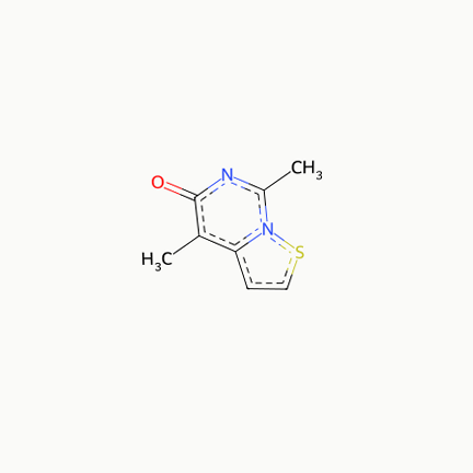 Cc1c(=O)nc(C)n2sccc12